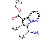 CCOC(=O)c1c(C)c(C(C)N)n2ncccc12